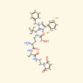 C[C@@H](NC(=O)[C@@H](N)CCN(C(=O)CO)[C@@H](c1nc(-c2cc(F)ccc2F)cn1Cc1ccccc1)C(C)(C)C)C(=O)NCCN1C(=O)C=CC1=O